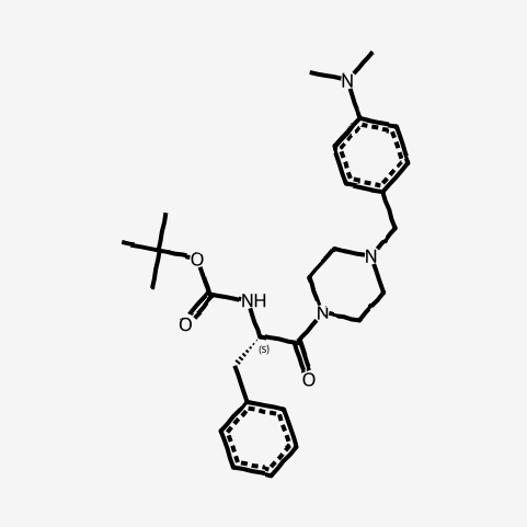 CN(C)c1ccc(CN2CCN(C(=O)[C@H](Cc3ccccc3)NC(=O)OC(C)(C)C)CC2)cc1